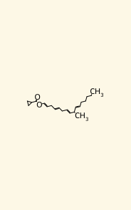 CCCCCC=CC(C)C=CCC=CCC=COC(=O)C1CC1